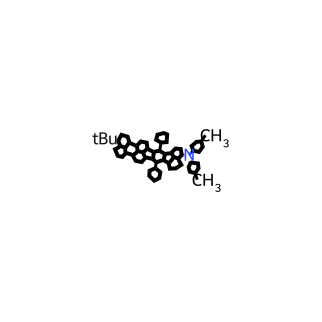 Cc1ccc(N(c2ccc(C)cc2)c2ccc3c4c(-c5ccccc5)c5c6ccc7c8ccc(C(C)(C)C)c9cccc(c%10ccc(c5c(-c5ccccc5)c4c4cccc2c43)c6c%107)c98)cc1